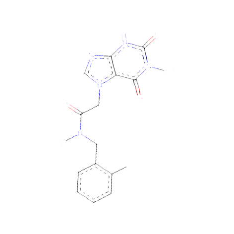 Cc1ccccc1CN(C)C(=O)Cn1cnc2[nH]c(=O)n(C)c(=O)c21